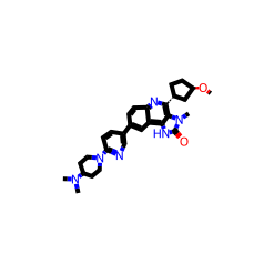 CO[C@@H]1CC[C@@H](c2nc3ccc(-c4ccc(N5CCC(N(C)C)CC5)nc4)cc3c3[nH]c(=O)n(C)c23)C1